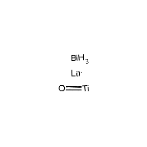 [BiH3].[La].[O]=[Ti]